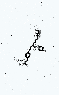 CCOC(Cc1ccc(OCCN(CCCCC(F)(F)C(F)(F)C(F)(F)F)C(=O)Oc2ccc(F)cc2)cc1)C(=O)O